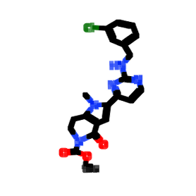 Cn1c(-c2ccnc(NCc3cccc(Cl)c3)n2)cc2c1CCN(C(=O)OC(C)(C)C)C2=O